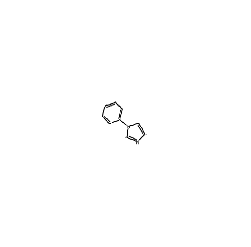 [c]1cn(-c2ccccc2)[c]n1